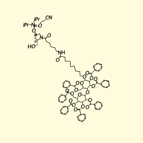 CC(C)N(C(C)C)P(OCCC#N)O[C@@H]1C[C@@H](CO)N(C(=O)CCCCCNC(=O)CCCCCCCCOC2OC(COC(=O)c3ccccc3)C(OC3OC(COC(=O)c4ccccc4)C(OC(=O)c4ccccc4)C(OC(=O)c4ccccc4)C3OC(=O)c3ccccc3)C(OC(=O)c3ccccc3)C2OC(=O)c2ccccc2)C1